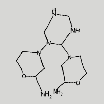 NC1CN(C2NCNCN2N2CCOC(N)C2)CCO1